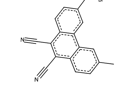 Cc1ccc2c(C#N)c(C#N)c3ccc(CBr)cc3c2c1